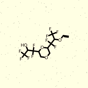 C=COC(C(F)(F)F)C(F)(F)C1COCC(C(F)(F)C(O)C(F)(F)F)O1